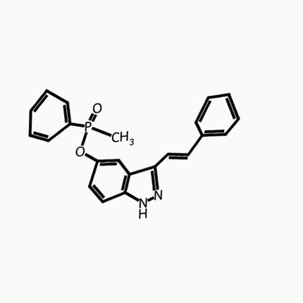 CP(=O)(Oc1ccc2[nH]nc(C=Cc3ccccc3)c2c1)c1ccccc1